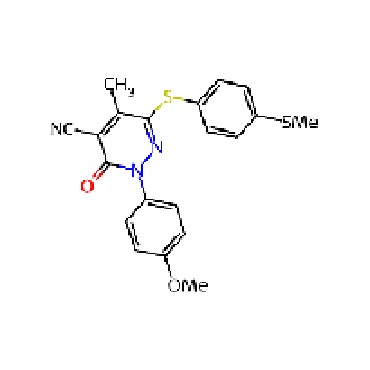 COc1ccc(-n2nc(Sc3ccc(SC)cc3)c(C)c(C#N)c2=O)cc1